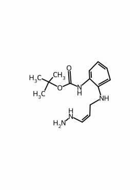 CC(C)(C)OC(=O)Nc1ccccc1NC/C=C\NN